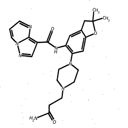 CC1(C)Cc2cc(NC(=O)c3cnn4cccnc34)c(N3CCN(CCC(N)=O)CC3)cc2O1